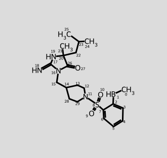 CBc1ccccc1S(=O)(=O)N1CCC(CN2C(=N)NC(C)(CC(C)C)C2=O)CC1